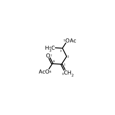 C=C(CC(C)OC(C)=O)C(=O)OC(C)=O